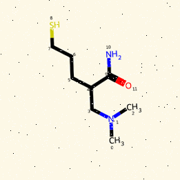 CN(C)CC(CCCS)C(N)=O